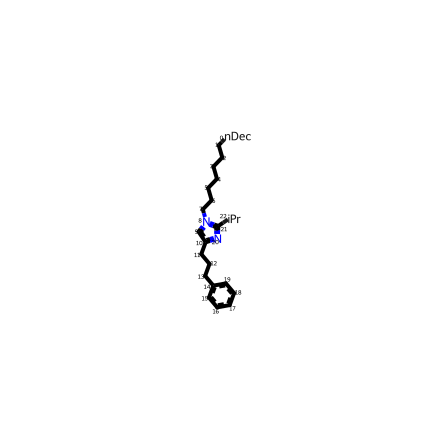 CCCCCCCCCCCCCCCCCn1cc(CCCc2ccccc2)nc1C(C)C